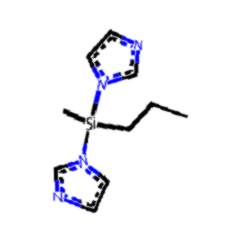 CCC[Si](C)(n1ccnc1)n1ccnc1